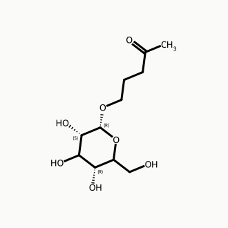 CC(=O)CCCO[C@@H]1OC(CO)[C@H](O)C(O)[C@@H]1O